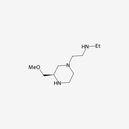 CCNCCN1CCN[C@@H](COC)C1